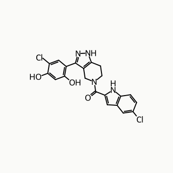 O=C(c1cc2cc(Cl)ccc2[nH]1)N1CCc2[nH]nc(-c3cc(Cl)c(O)cc3O)c2C1